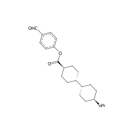 CCC[C@H]1CC[C@H]([C@H]2CC[C@H](C(=O)Oc3ccc(C=O)cc3)CC2)CC1